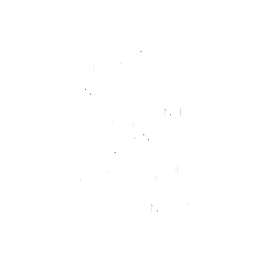 O=c1[nH]c2cc(C(F)(F)F)c([N+](=O)[O-])cc2n1-c1cc(Cl)cc([N+](=O)[O-])c1O